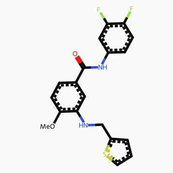 COc1ccc(C(=O)Nc2ccc(F)c(F)c2)cc1NCc1cccs1